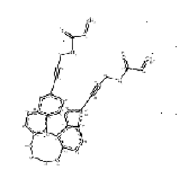 C=CC(=O)OCC#Cc1ccc2c3c(ccc2c1)OCCOc1ccc2cc(C#CCOC(=O)C=C)ccc2c1-3